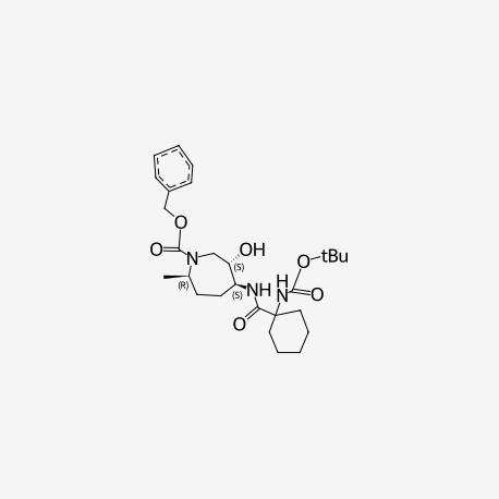 C[C@@H]1CC[C@H](NC(=O)C2(NC(=O)OC(C)(C)C)CCCCC2)[C@@H](O)CN1C(=O)OCc1ccccc1